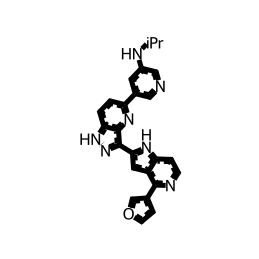 CC(C)Nc1cncc(-c2ccc3[nH]nc(-c4cc5c(-c6ccoc6)nccc5[nH]4)c3n2)c1